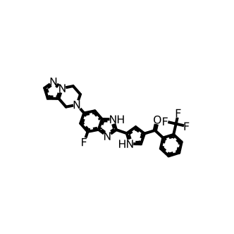 O=C(c1c[nH]c(-c2nc3c(F)cc(N4CCn5nccc5C4)cc3[nH]2)c1)c1ccccc1C(F)(F)F